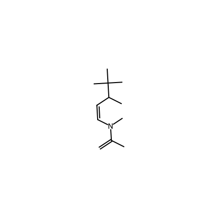 C=C(C)N(C)/C=C\C(C)C(C)(C)C